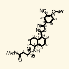 CNC(=O)CCS(=O)(=O)NC1CCCc2c(-c3nnc(-c4ccc(OC(C)C)c(C#N)c4)s3)cccc21